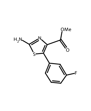 COC(=O)c1nc(N)sc1-c1cccc(F)c1